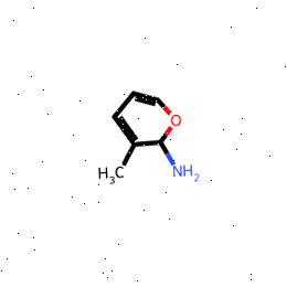 CC1=CC=COC1N